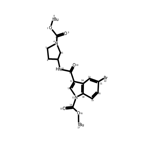 CC(C)(C)OC(=O)N1CCC(NC(=O)c2cn(C(=O)OC(C)(C)C)c3ccc(Br)cc23)C1